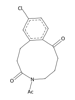 CC(=O)N1CCCC(=O)c2ccc(Cl)cc2CCC1=O